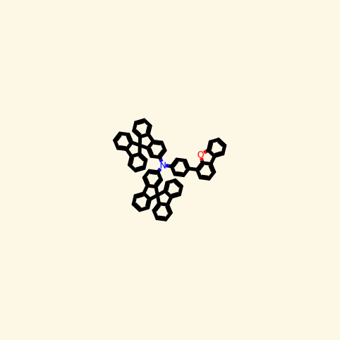 c1ccc2c(c1)-c1ccccc1C21c2ccccc2-c2ccc(N(c3ccc(-c4cccc5c4oc4ccccc45)cc3)c3ccc4c(c3)C3(c5ccccc5-c5ccccc53)c3ccccc3-4)cc21